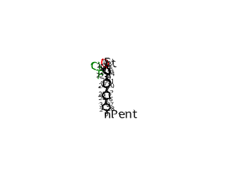 CCCCCC1CCC(C2CCC(C3CC=C(c4ccc(OCC)c(Cl)c4F)CC3)CC2)CC1